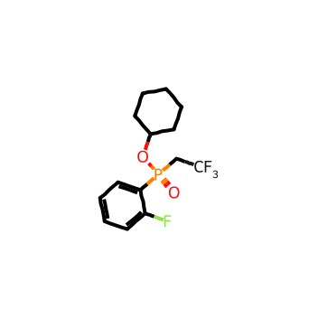 O=P(CC(F)(F)F)(OC1CCCCC1)c1ccccc1F